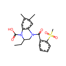 CCC1CN(C(=O)c2ccccc2S(C)(=O)=O)c2cc(C)c(C)cc2N1C(=O)O